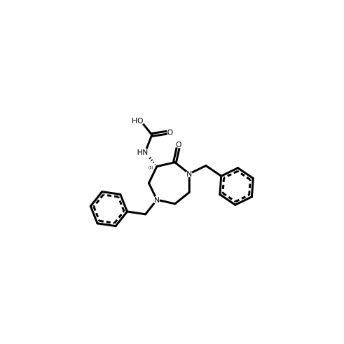 O=C(O)N[C@H]1CN(Cc2ccccc2)CCN(Cc2ccccc2)C1=O